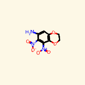 Nc1cc2c(c([N+](=O)[O-])c1[N+](=O)[O-])OCCO2